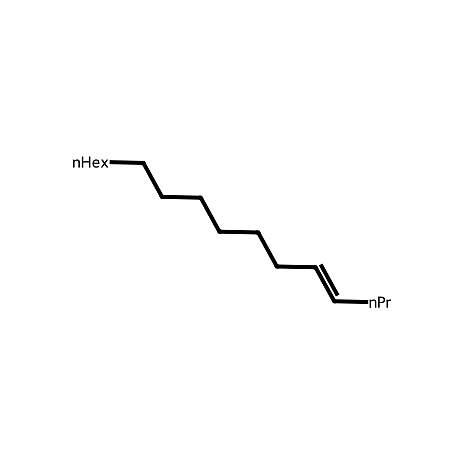 [CH2]CCC=CCCCCCCCCCCCC